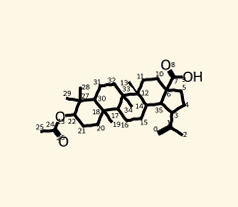 C=C(C)C1CCC2(C(=O)O)CC[C@]3(C)C(CCC4C5(C)CCC(OC(C)=O)C(C)(C)C5CCC43C)C12